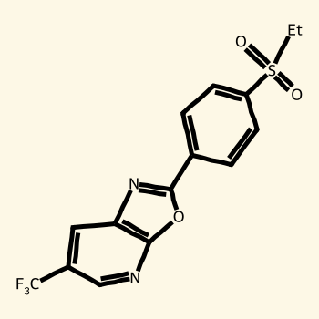 CCS(=O)(=O)c1ccc(-c2nc3cc(C(F)(F)F)cnc3o2)cc1